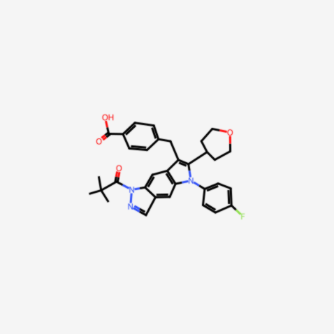 CC(C)(C)C(=O)n1ncc2cc3c(cc21)c(Cc1ccc(C(=O)O)cc1)c(C1CCOCC1)n3-c1ccc(F)cc1